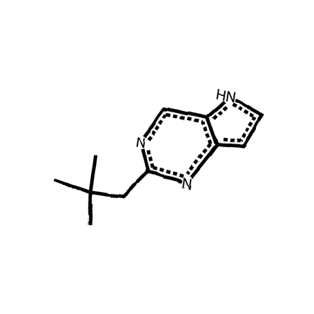 CC(C)(C)Cc1ncc2[nH]ccc2n1